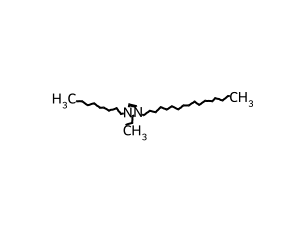 CCCCCCCCCCCCCCCCCN1C=CN(CCCCCCCCCC)C1CCC